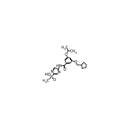 CC(C)Oc1cc(OCC2CCCC2)cc(C(=O)Nc2cnc(P(C)(=O)O)cn2)c1